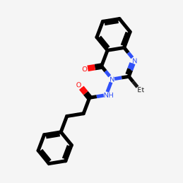 CCc1nc2ccccc2c(=O)n1NC(=O)CCc1ccccc1